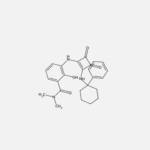 CN(C)C(=O)c1cccc(Nc2c(NC3(c4ccccc4)CCCCC3)c(=O)c2=O)c1O